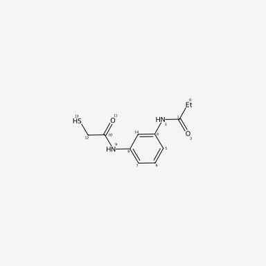 CCC(=O)Nc1cccc(NC(=O)CS)c1